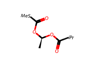 CSC(=O)O[C@H](C)OC(=O)C(C)C